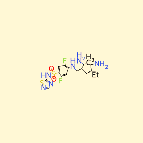 CCC(CN)CC(CNc1cc(F)c(S(=O)(=O)Nc2ncns2)cc1F)[C@@H](C)N